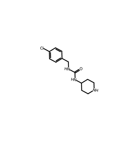 O=C(NCc1ccc(Cl)cc1)NC1CCNCC1